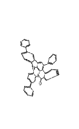 O=c1c2ccccc2c2c(-c3ccccc3)cc3c4cc(-c5ccccc5)ccc4n4c5ccc(-c6ccccc6)cc5n1c2c34